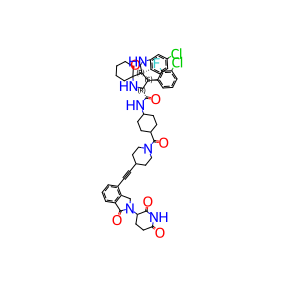 O=C1CCC(N2Cc3c(C#CC4CCN(C(=O)C5CCC(NC(=O)[C@@H]6NC7(CCCCC7)[C@@]7(C(=O)Nc8cc(Cl)ccc87)[C@H]6c6cccc(Cl)c6F)CC5)CC4)cccc3C2=O)C(=O)N1